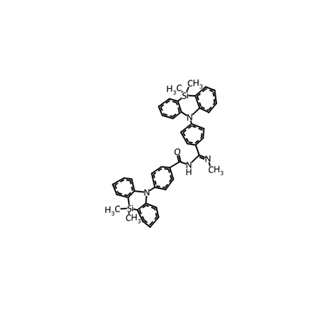 C/N=C(\NC(=O)c1ccc(N2c3ccccc3[Si](C)(C)c3ccccc32)cc1)c1ccc(N2c3ccccc3[Si](C)(C)c3ccccc32)cc1